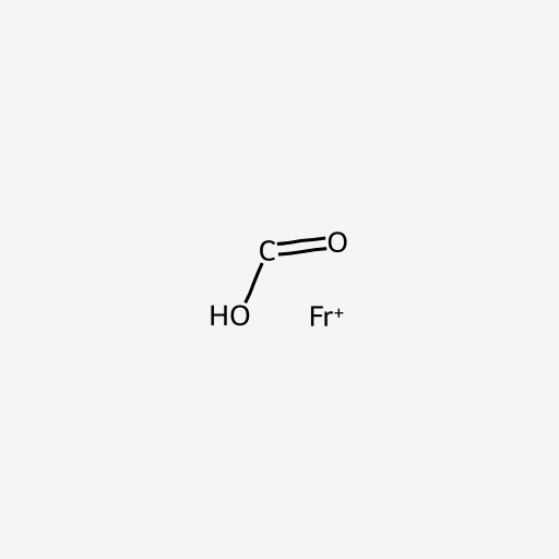 O=[C-]O.[Fr+]